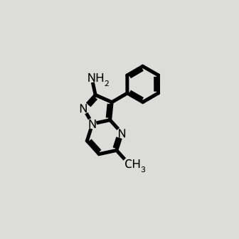 Cc1ccn2nc(N)c(-c3ccccc3)c2n1